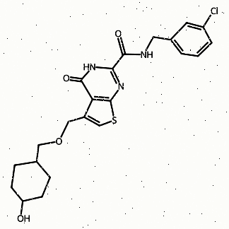 O=C(NCc1cccc(Cl)c1)c1nc2scc(COCC3CCC(O)CC3)c2c(=O)[nH]1